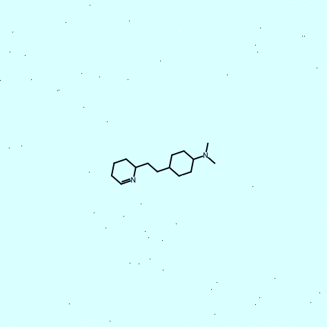 CN(C)C1CCC(CCC2CCCC=N2)CC1